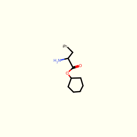 CC(C)CC(N)C(=O)OC1CC[CH]CC1